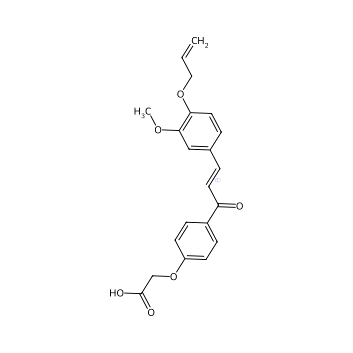 C=CCOc1ccc(/C=C/C(=O)c2ccc(OCC(=O)O)cc2)cc1OC